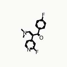 CN(C)C=C(C(=O)c1ccc(F)cc1)c1ccnc(F)c1